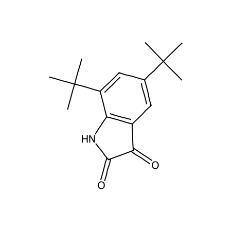 CC(C)(C)c1cc2c(c(C(C)(C)C)c1)NC(=O)C2=O